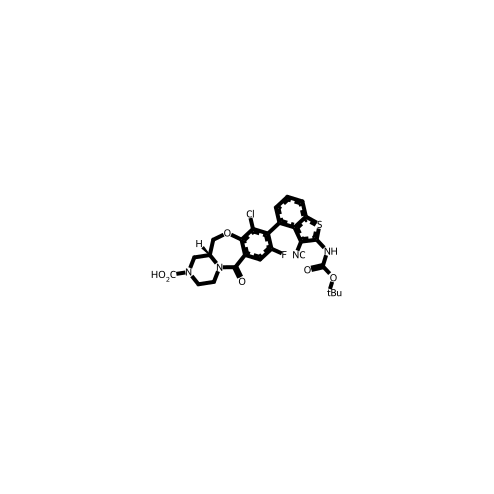 CC(C)(C)OC(=O)Nc1sc2cccc(-c3c(F)cc4c(c3Cl)OC[C@H]3CN(C(=O)O)CCN3C4=O)c2c1C#N